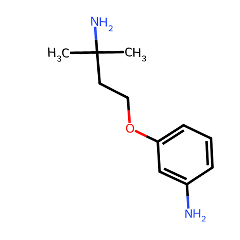 CC(C)(N)CCOc1cccc(N)c1